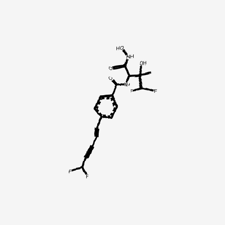 CC(O)(C(F)F)C(NC(=O)c1ccc(C#CC#CC(F)F)cc1)C(=O)NO